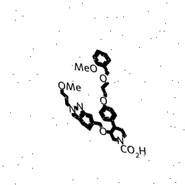 COCCCn1cc2ccc(COC3CN(C(=O)O)CCC3c3ccc(OCCCOCc4ccccc4OC)cc3)cc2n1